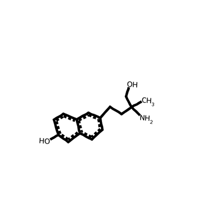 CC(N)(CO)CCc1ccc2cc(O)ccc2c1